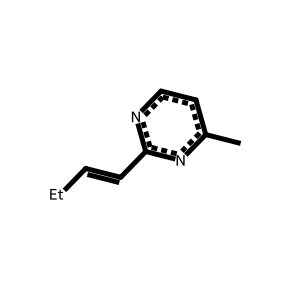 CC/C=C/c1nccc(C)n1